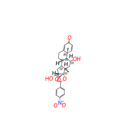 C[C@]12C=CC(=O)C=C1CC[C@@H]1[C@@H]2[C@@H](O)C[C@@]2(C)[C@H]1C[C@H]1OC(c3ccc([N+](=O)[O-])cc3)O[C@]12C(=O)CO